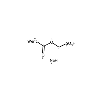 CCCCCC(=O)OCS(=O)(=O)O.[NaH]